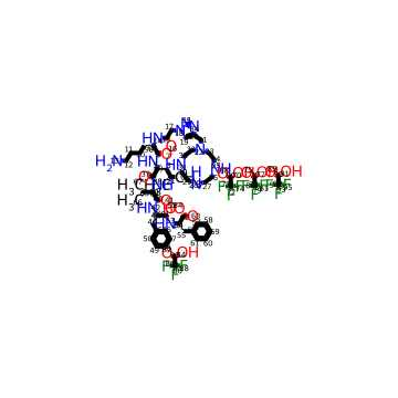 CC(C)C[C@H](NC(=O)[C@H](CCCCN)NC(=O)Cn1cc(CN2CCNCCNCCNCC2)nn1)C(=O)N[C@H](C(=O)N[C@@H](Cc1ccccc1)C(=O)N[C@@H](Cc1ccccc1)C(=O)O)C(C)C.O=C(O)C(F)(F)F.O=C(O)C(F)(F)F.O=C(O)C(F)(F)F.O=C(O)C(F)(F)F